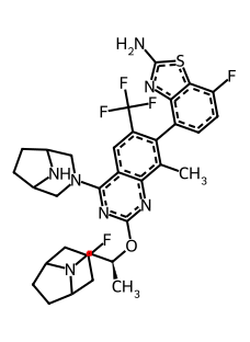 Cc1c(-c2ccc(F)c3sc(N)nc23)c(C(F)(F)F)cc2c(N3CC4CCC(C3)N4)nc(O[C@@H](C)CN3C4CCC3CC(F)C4)nc12